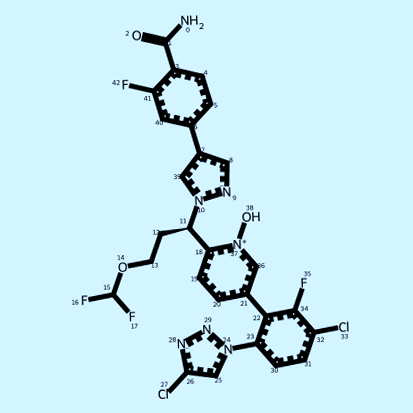 NC(=O)c1ccc(-c2cnn([C@H](CCOC(F)F)c3ccc(-c4c(-n5cc(Cl)nn5)ccc(Cl)c4F)c[n+]3O)c2)cc1F